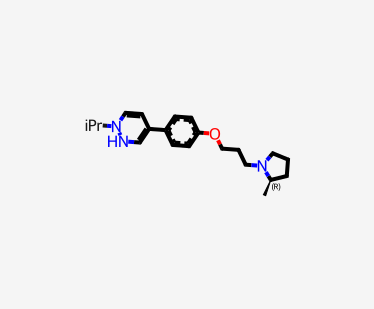 CC(C)N1C=CC(c2ccc(OCCCN3CCC[C@H]3C)cc2)=CN1